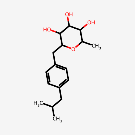 CC(C)Cc1ccc(CC2OC(C)C(O)C(O)C2O)cc1